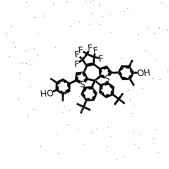 Cc1cc(-c2cc3c(s2)C(c2ccc(C(C)(C)C)cc2)(c2ccc(C(C)(C)C)cc2)c2sc(-c4cc(C)c(O)c(C)c4)cc2C2=C3C(F)(F)C(F)(F)C2(F)F)cc(C)c1O